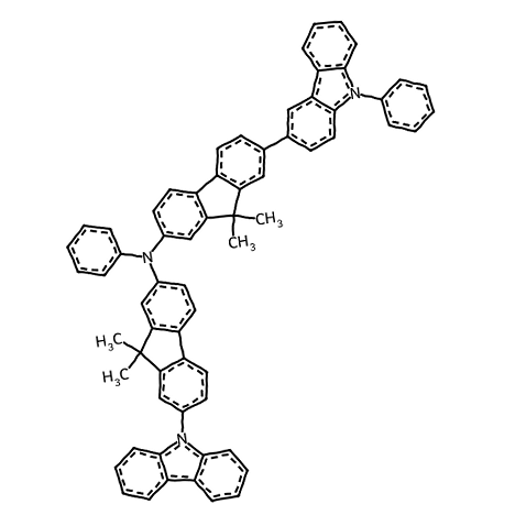 CC1(C)c2cc(-c3ccc4c(c3)c3ccccc3n4-c3ccccc3)ccc2-c2ccc(N(c3ccccc3)c3ccc4c(c3)C(C)(C)c3cc(-n5c6ccccc6c6ccccc65)ccc3-4)cc21